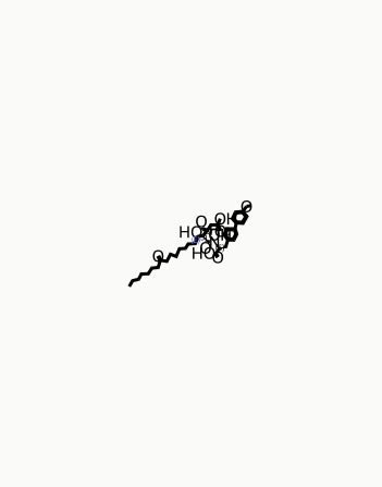 CCCCCCCC(=O)CCCCCC/C=C/[C@H](C(=O)N[C@@H](Cc1ccc(-c2ccc(OC)cc2)cc1)C(=O)O)[C@@](O)(CC(=O)O)C(=O)O